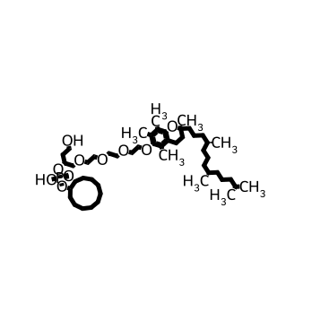 Cc1c(C)c2c(c(C)c1OCCOCCOCCOCC(CCO)OP(=O)(O)OC1CCCCCCCCCC1)CC[C@@](C)(CCC[C@H](C)CCC[C@H](C)CCCC(C)C)O2